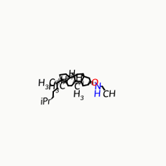 C#CCNO[C@@H]1CC[C@@]2(C)C(=CC[C@H]3[C@@H]4CC[C@H]([C@H](C)CCCC(C)C)[C@@]4(C)CC[C@@H]32)C1